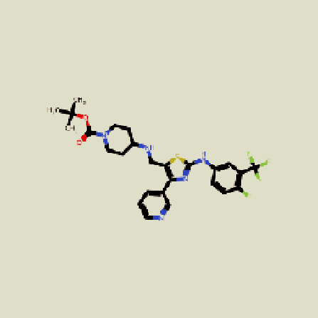 CC(C)(C)OC(=O)N1CCC(NCc2sc(Nc3ccc(F)c(C(F)(F)F)c3)nc2-c2cccnc2)CC1